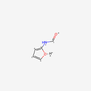 O=CNc1ccco1.[H+]